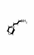 NCCCN1C=COCC1